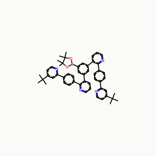 CC(C)(C)c1ccnc(-c2ccc(-c3ncccc3-c3cc(B4OC(C)(C)C(C)(C)O4)cc(-c4cccnc4-c4ccc(-c5cc(C(C)(C)C)ccn5)cc4)c3)cc2)c1